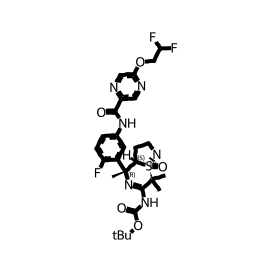 CC(C)(C)OC(=O)NC1=N[C@](C)(c2cc(NC(=O)c3cnc(OCC(F)F)cn3)ccc2F)[C@@H]2CCN=[S@]2(=O)C1(C)C